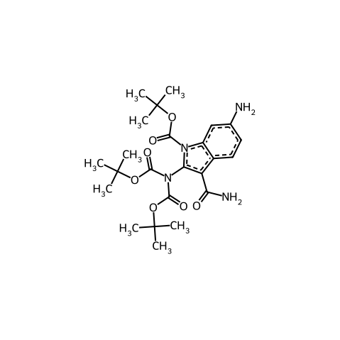 CC(C)(C)OC(=O)N(C(=O)OC(C)(C)C)c1c(C(N)=O)c2ccc(N)cc2n1C(=O)OC(C)(C)C